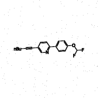 CCCCC#Cc1ccc(-c2ccc(OC(F)F)cc2)nc1